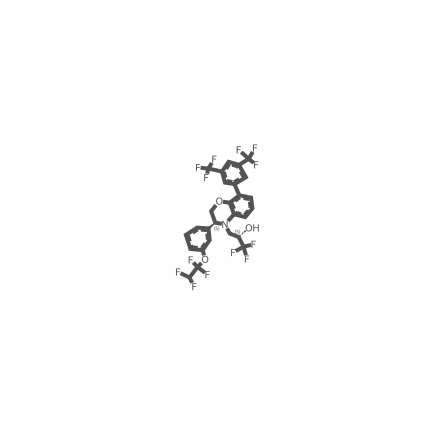 O[C@@H](CN1c2cccc(-c3cc(C(F)(F)F)cc(C(F)(F)F)c3)c2OC[C@@H]1c1cccc(OC(F)(F)C(F)F)c1)C(F)(F)F